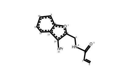 C=CC(=O)NCc1oc2ccccc2c1CCC